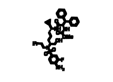 COC(=O)N[C@H](C(=O)N[C@H](CCC[C@@H](CO)N(CCC(C)C)S(=O)(=O)c1ccc(N)c(F)c1)C1CC1)C(c1ccccc1)c1ccccc1